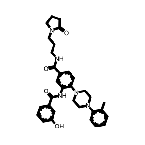 Cc1ccccc1N1CCN(c2ccc(C(=O)NCCCN3CCCC3=O)cc2NC(=O)c2cccc(O)c2)CC1